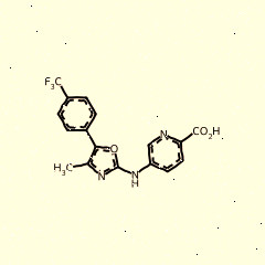 Cc1nc(Nc2ccc(C(=O)O)nc2)oc1-c1ccc(C(F)(F)F)cc1